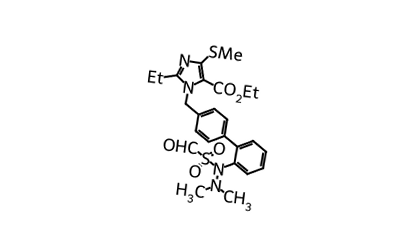 CCOC(=O)c1c(SC)nc(CC)n1Cc1ccc(-c2ccccc2N(N(C)C)S(=O)(=O)C=O)cc1